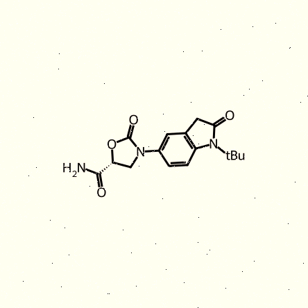 CC(C)(C)N1C(=O)Cc2cc(N3C[C@H](C(N)=O)OC3=O)ccc21